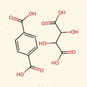 O=C(O)C(O)C(O)C(=O)O.O=C(O)c1ccc(C(=O)O)cc1